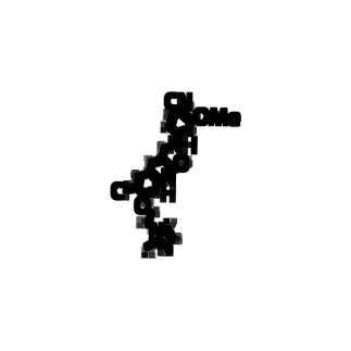 COc1cc(NCc2cc3cc(Cl)c(OCCn4ccnc4C)cc3[nH]c2=O)ccc1C#N